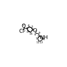 O=C(Cl)c1ccc(OCCC2CCCCN2)cc1